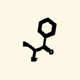 O=C(c1ccccc1)C(Br)Br